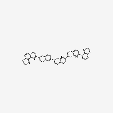 c1cnc2c(-c3ccc4ccc(-c5ccc6ccc(-c7ccc8cc(-c9ccc%10ccc%11cccnc%11c%10n9)ccc8c7)cc6n5)cc4n3)cccc2c1